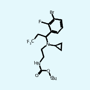 CC(C)(C)OC(=O)NCCN(C1CC1)C(CC(F)(F)F)c1cccc(Br)c1F